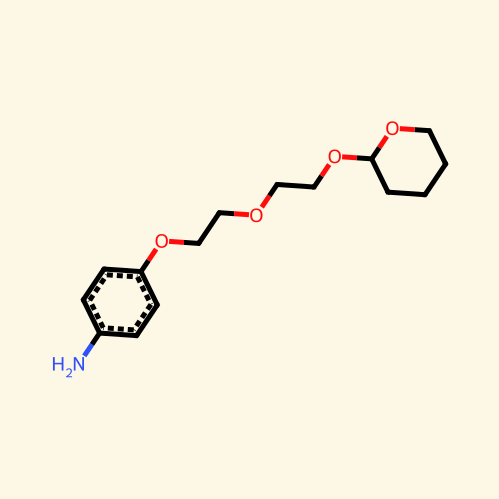 Nc1ccc(OCCOCCOC2CCCCO2)cc1